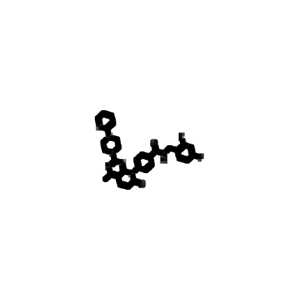 Cc1nc(N2CCN(c3ccccn3)CC2)nc2c1ccc(=O)n2-c1ccc(C(=O)NCc2ccc(F)cc2F)cc1